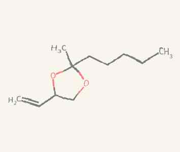 C=CC1COC(C)(CCCCC)O1